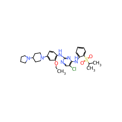 CCOc1cc(N2CCC(N3CCCC3)CC2)ccc1Nc1ncc(Cl)c(Nc2ccccc2S(=O)(=O)C(C)C)n1